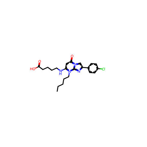 CCCCCn1c(NCCCCC(=O)O)cc(=O)n2cc(-c3ccc(Cl)cc3)nc12